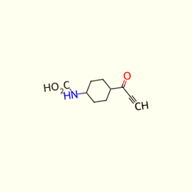 C#CC(=O)C1CCC(NC(=O)O)CC1